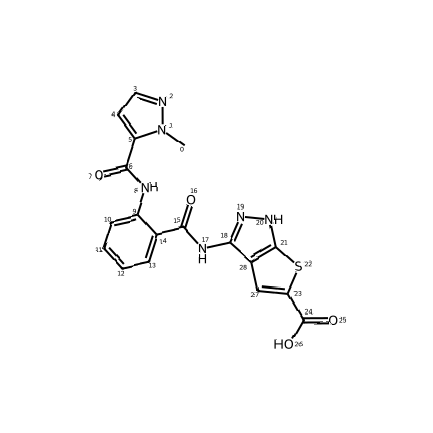 Cn1nccc1C(=O)Nc1ccccc1C(=O)Nc1n[nH]c2sc(C(=O)O)cc12